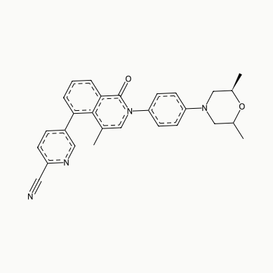 Cc1cn(-c2ccc(N3CC(C)O[C@H](C)C3)cc2)c(=O)c2cccc(-c3ccc(C#N)nc3)c12